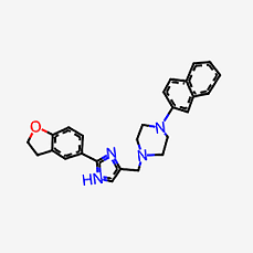 c1ccc2cc(N3CCN(Cc4c[nH]c(-c5ccc6c(c5)CCO6)n4)CC3)ccc2c1